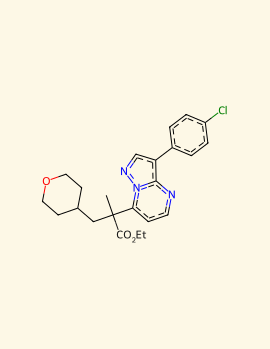 CCOC(=O)C(C)(CC1CCOCC1)c1ccnc2c(-c3ccc(Cl)cc3)cnn12